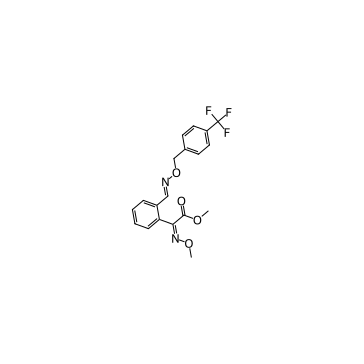 CO/N=C(\C(=O)OC)c1ccccc1/C=N/OCc1ccc(C(F)(F)F)cc1